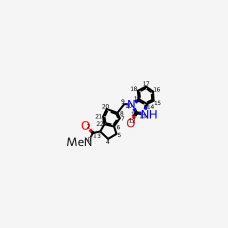 CNC(=O)C1CCc2cc(Cn3c(=O)[nH]c4ccccc43)ccc21